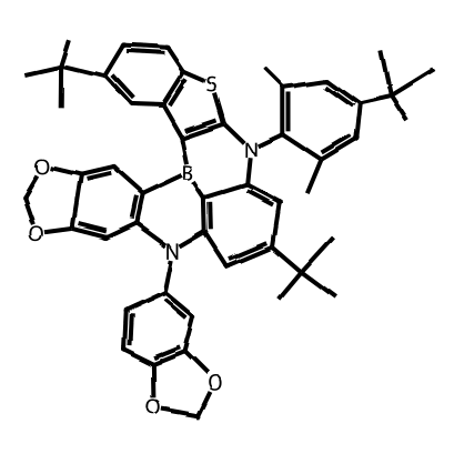 Cc1cc(C(C)(C)C)cc(C)c1N1c2cc(C(C)(C)C)cc3c2B(c2cc4c(cc2N3c2ccc3c(c2)OCO3)OCO4)c2c1sc1ccc(C(C)(C)C)cc21